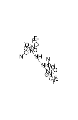 CCOC(=O)C1=C(C)N(c2cccc(C(F)(F)F)c2)C(=O)N(CCCNCCCCCNCCCN2C(=O)N(c3cccc(C(F)(F)F)c3)C(C)=C(C(=O)OCC)C2c2ccc(C#N)cc2)C1c1ccc(C#N)cc1